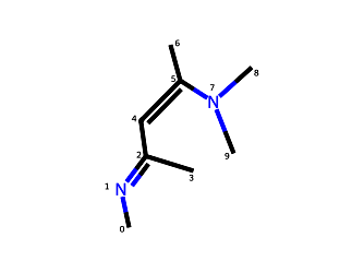 C/N=C(C)/C=C(/C)N(C)C